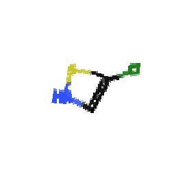 Clc1c[nH]s1